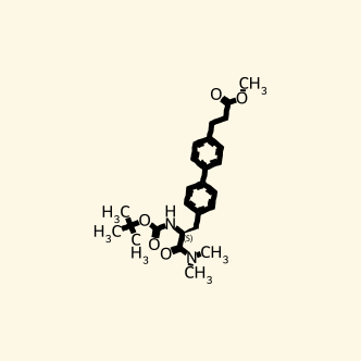 COC(=O)CCc1ccc(-c2ccc(C[C@H](NC(=O)OC(C)(C)C)C(=O)N(C)C)cc2)cc1